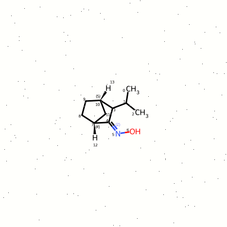 CC(C)C1/C(=N\O)[C@@H]2CC[C@H]1C2